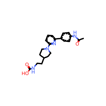 CC(=O)Nc1ccc(-c2cccc(N3CCC(CCNC(=O)O)CC3)n2)cc1